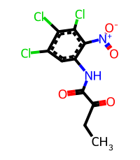 CCC(=O)C(=O)Nc1cc(Cl)c(Cl)c(Cl)c1[N+](=O)[O-]